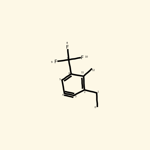 CCc1c#ccc(C(F)(F)F)c1C